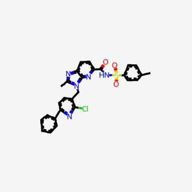 Cc1ccc(S(=O)(=O)NC(=O)c2ccc3nc(C)n(Cc4ccc(-c5ccccc5)nc4Cl)c3n2)cc1